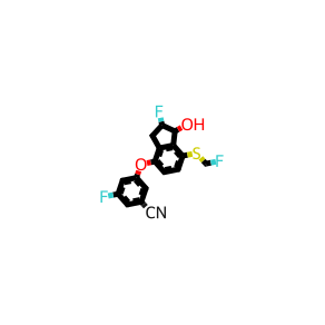 N#Cc1cc(F)cc(Oc2ccc(SCF)c3c2CC(F)C3O)c1